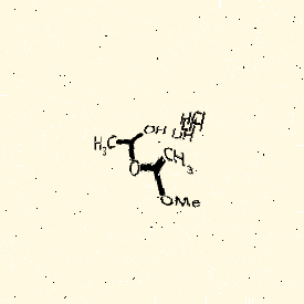 COC(C)OC(C)O.Cl.[LiH].[LiH]